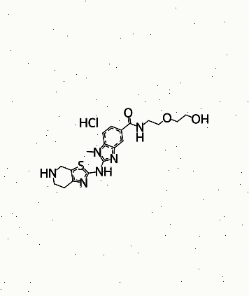 Cl.Cn1c(Nc2nc3c(s2)CNCC3)nc2cc(C(=O)NCCOCCO)ccc21